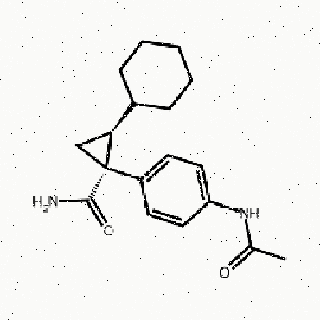 CC(=O)Nc1ccc([C@@]2(C(N)=O)C[C@H]2C2CCCCC2)cc1